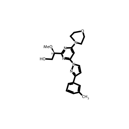 CO[C@H](CO)c1nc(N2CCOCC2)cc(-n2ccc(-c3cccc(C)c3)n2)n1